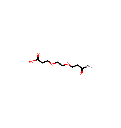 CC(=O)CCOCCOCCC(=O)O